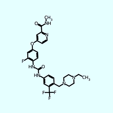 CCN1CCN(Cc2ccc(NC(=O)Nc3ccc(Oc4ccnc(C(=O)NC)c4)cc3F)cc2C(F)(F)F)CC1